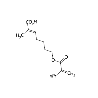 C=C(CCC)C(=O)OCCCCC=C(C)C(=O)O